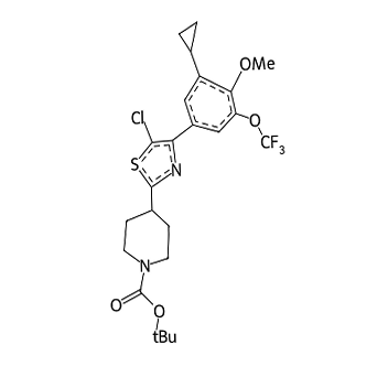 COc1c(OC(F)(F)F)cc(-c2nc(C3CCN(C(=O)OC(C)(C)C)CC3)sc2Cl)cc1C1CC1